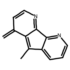 C=c1ccnc2c1=C(C)c1cccnc1-2